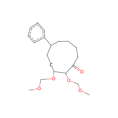 COCOC1CCC(c2ccccc2)CCCCC(=O)C1OCOC